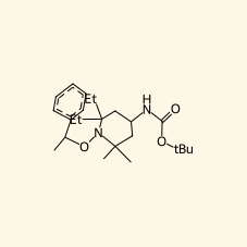 CCC1(CC)CC(NC(=O)OC(C)(C)C)CC(C)(C)N1OC(C)c1ccccc1